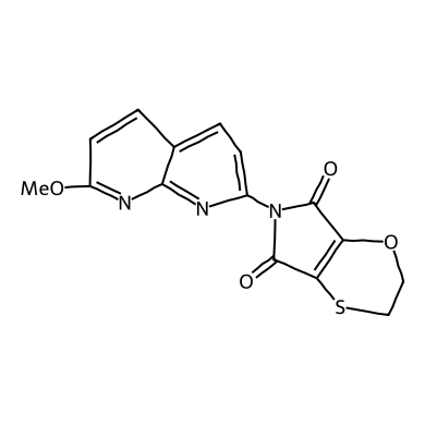 COc1ccc2ccc(N3C(=O)C4=C(SCCO4)C3=O)nc2n1